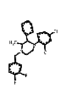 CC1C(c2ccccc2)N(c2ccc(Cl)cc2Cl)CCN1Cc1ccc(F)c(F)c1